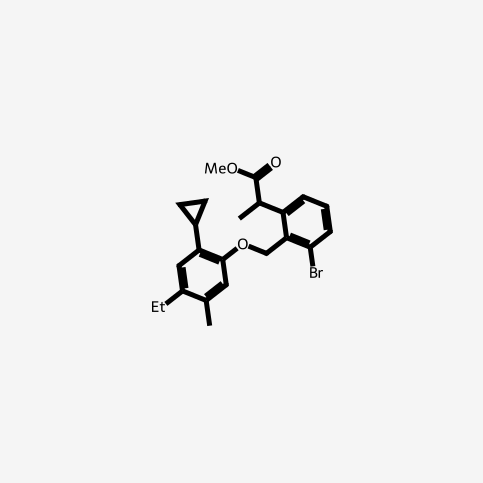 CCc1cc(C2CC2)c(OCc2c(Br)cccc2C(C)C(=O)OC)cc1C